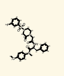 COc1ccc(N(C)C(=O)[C@H](Cc2ccccc2)NC(=O)CN2CCN(S(=O)(=O)c3cccc(F)c3)CC2=O)cc1